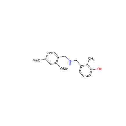 COc1ccc(CNCc2cccc(O)c2C)c(OC)c1